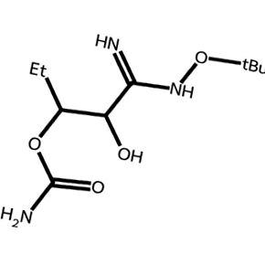 CCC(OC(N)=O)C(O)C(=N)NOC(C)(C)C